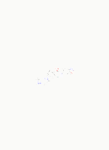 Cc1nc2c(F)cc(NC(=O)c3ccc(N4CCN5CCC[C@H]5C4)cc3F)cc2o1